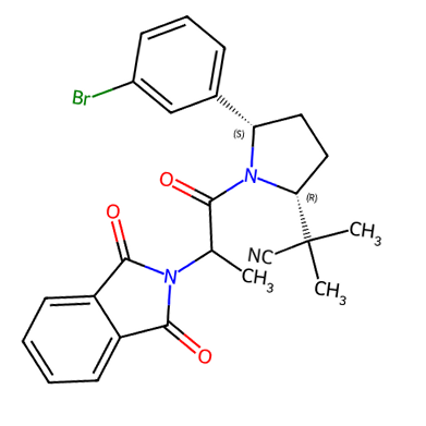 CC(C(=O)N1[C@H](c2cccc(Br)c2)CC[C@@H]1C(C)(C)C#N)N1C(=O)c2ccccc2C1=O